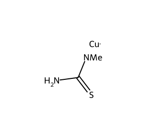 CNC(N)=S.[Cu]